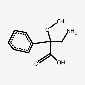 COC(CN)(C(=O)O)c1ccccc1